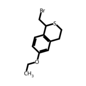 CCOc1ccc2c(c1)CCSC2CBr